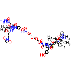 CCCOC(CC(C(C)C)N(CCC)C(=O)[C@@H](NC(=O)[C@H]1CCCCN1C)[C@@H](C)CC)[C@H]1SC1(N)C(=O)NC(Cc1ccc(O)cc1)C[C@H](C)C(=O)NNC(=O)OCCOCCOCCOCCNC(=O)OCc1ccc(NC(=O)[C@H](CCCNC(N)=O)NC(=O)[C@@H](NC(=O)CCCCCN2C(=O)C=CC2=O)C(C)C)cc1